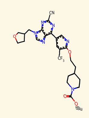 CC(C)(C)OC(=O)N1CCC(CCOc2ncc(-c3nc(C#N)nc4c3ncn4CC3CCOC3)cc2C(F)(F)F)CC1